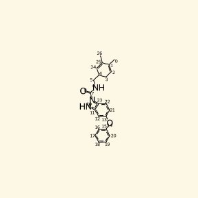 CC1=CCC(CNC(=O)n2[nH]c3cc(Oc4ccccc4)ccc32)C=C1C